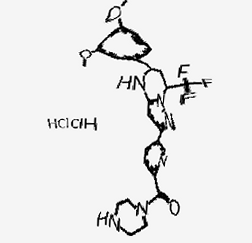 COc1ccc(C2CC(C(F)(F)F)n3nc(-c4ccc(C(=O)N5CCNCC5)nc4)cc3N2)cc1OC.Cl.Cl